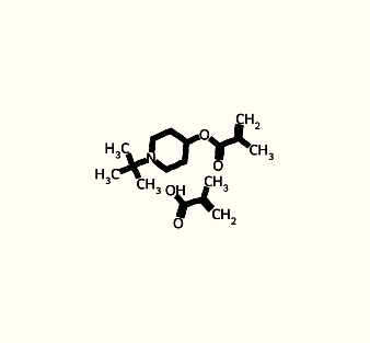 C=C(C)C(=O)O.C=C(C)C(=O)OC1CCN(C(C)(C)C)CC1